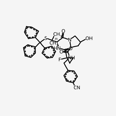 CC(C)(SC(c1ccccc1)(c1ccccc1)c1ccccc1)[C@H](NC(=O)C1(F)CC1)C(=O)N1CC(O)CC1C(=O)NCc1ccc(C#N)cc1